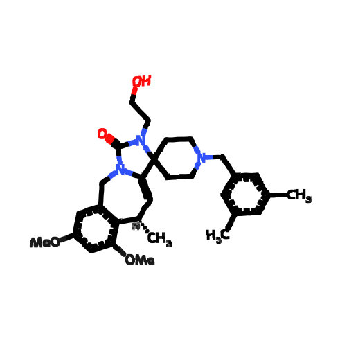 COc1cc2c(c(OC)c1)[C@@H](C)C=C1N(C2)C(=O)N(CCO)C12CCN(Cc1cc(C)cc(C)c1)CC2